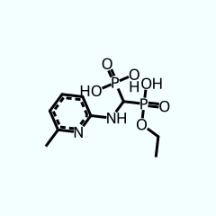 CCOP(=O)(O)C(Nc1cccc(C)n1)P(=O)(O)O